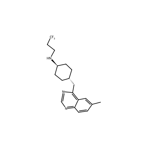 Cc1ccc2ncnc(C[C@H]3CC[C@H](NCCC(F)(F)F)CC3)c2c1